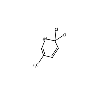 FC(F)(F)C1=CNC(Cl)(Cl)C=C1